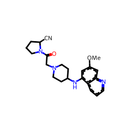 COc1cc(NC2CCN(CC(=O)N3CCCC3C#N)CC2)c2cccnc2c1